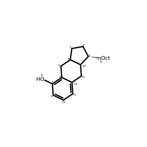 CCCCCCCC[C@H]1CCC2Cc3c(O)cccc3CC21